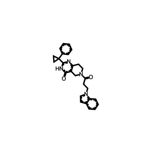 O=C(CCn1ccc2ccccc21)N1CCc2nc(C3(c4ccccc4)CC3)[nH]c(=O)c2C1